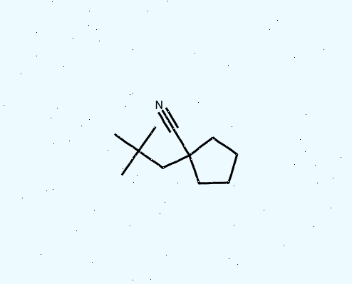 CC(C)(C)CC1(C#N)CCCC1